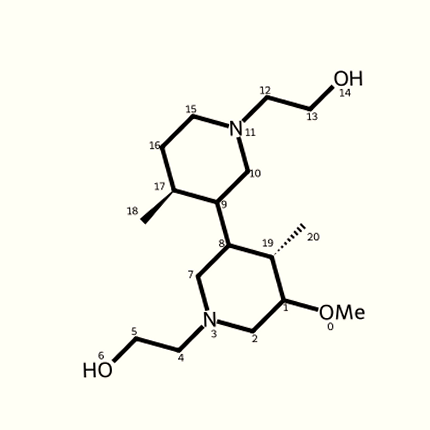 COC1CN(CCO)CC(C2CN(CCO)CC[C@@H]2C)[C@@H]1C